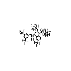 [2H]C([2H])([2H])C[C@@H]1C[C@H](NCc2cc(C(F)(F)F)cc(C(F)(F)F)c2)c2cc(C(F)(F)F)ccc2N1C(=O)OC([2H])([2H])C([2H])([2H])[2H]